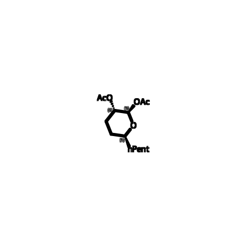 CCCCC[C@H]1CC[C@H](OC(C)=O)[C@@H](OC(C)=O)O1